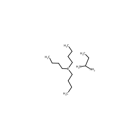 CCC(N)N.CCCCB(CCCC)CCCC